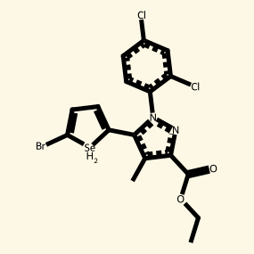 CCOC(=O)c1nn(-c2ccc(Cl)cc2Cl)c(C2=CC=C(Br)[SeH2]2)c1C